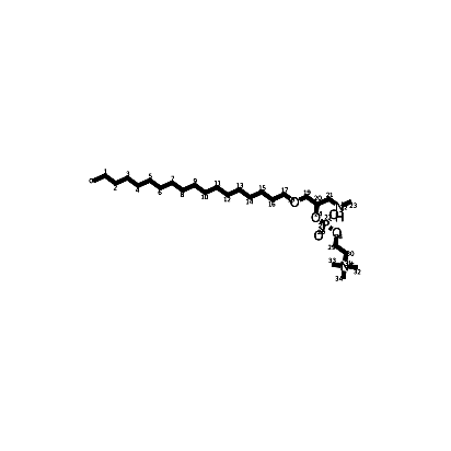 CCCCCCCCCCCCCCCCCCOCC(CNC)OP(=O)([O-])OCC[N+](C)(C)C